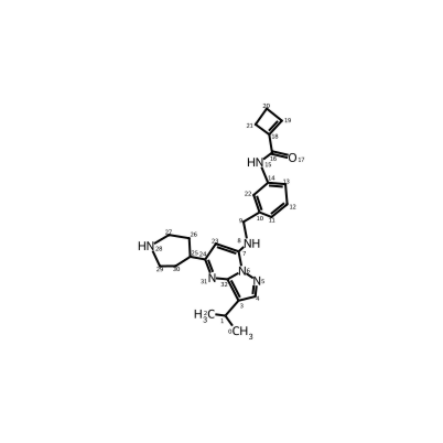 CC(C)c1cnn2c(NCc3cccc(NC(=O)C4=CCC4)c3)cc(C3CCNCC3)nc12